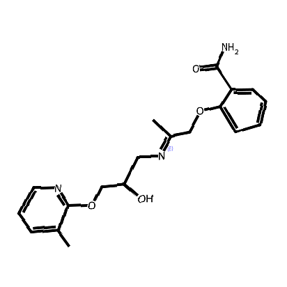 C/C(COc1ccccc1C(N)=O)=N\CC(O)COc1ncccc1C